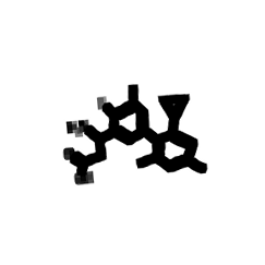 Cc1cc(C)c(-c2cc(C)c(F)c(C(N)CC(=O)O)c2)c(C2CC2)c1